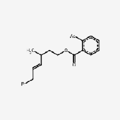 CC(=O)c1ccccc1C(=O)OCCC(C)C=CCC(C)C